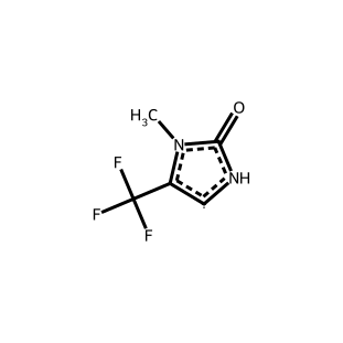 Cn1c(C(F)(F)F)[c][nH]c1=O